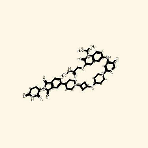 CNC(=O)COc1cc2cc(Nc3cc(N4CCC(OC5CC(N6CCC(c7ccc8c(c7)C(=O)N([C@@H]7CCC(=O)NC7=O)C8=O)CC6)C5)CC4)ncc3Cl)ccc2n(C(C)C)c1=O